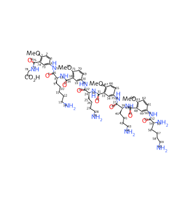 COc1ccc(NC(=O)[C@H](CCCCCN)NC(=O)c2cc(NC(=O)[C@H](CCCCN)NC(=O)c3cc(NC(=O)[C@H](CCCCN)NC(=O)c4cc(NC(=O)[C@@H](N)CCCCN)ccc4OC)ccc3OC)ccc2OC)cc1C(=O)NCC(=O)O